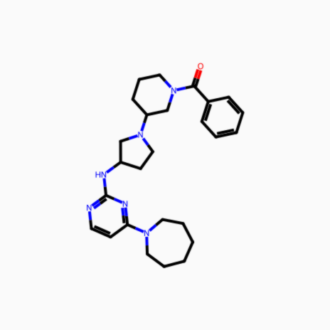 O=C(c1ccccc1)N1CCCC(N2CCC(Nc3nccc(N4CCCCCC4)n3)C2)C1